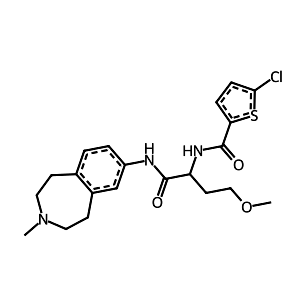 COCCC(NC(=O)c1ccc(Cl)s1)C(=O)Nc1ccc2c(c1)CCN(C)CC2